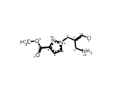 COC(=O)c1ccn(C/C(=C/Cl)CN)n1